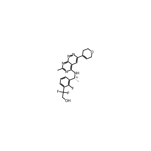 Cc1nc(N[C@H](C)c2cccc(C(F)(F)CO)c2F)c2cc(C3=CCOCC3)nnc2n1